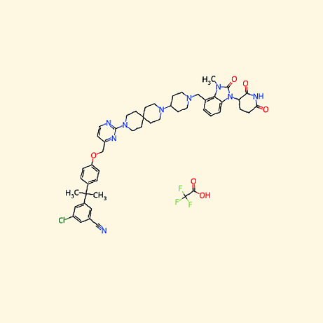 Cn1c(=O)n(C2CCC(=O)NC2=O)c2cccc(CN3CCC(N4CCC5(CCN(c6nccc(COc7ccc(C(C)(C)c8cc(Cl)cc(C#N)c8)cc7)n6)CC5)CC4)CC3)c21.O=C(O)C(F)(F)F